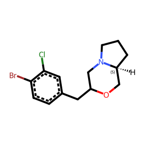 Clc1cc(CC2CN3CCC[C@H]3CO2)ccc1Br